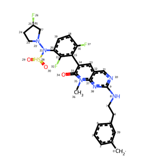 [CH2]c1cccc(CCNc2ncc3cc(-c4c(F)ccc(N(N5CC[C@@H](F)C5)[SH](=O)=O)c4F)c(=O)n(C)c3n2)c1